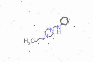 CCCCN1CCN(CNc2ccccc2)CC1